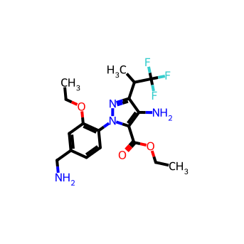 CCOC(=O)c1c(N)c(C(C)C(F)(F)F)nn1-c1ccc(CN)cc1OCC